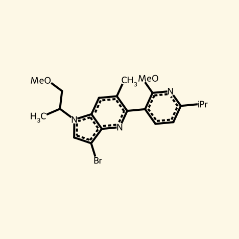 COCC(C)n1cc(Br)c2nc(-c3ccc(C(C)C)nc3OC)c(C)cc21